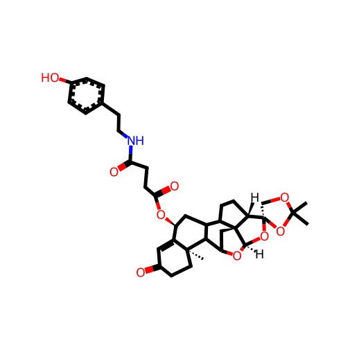 CC1(C)OC[C@@]2(O[C@H]3OC4C[C@]35C(CC[C@H]25)C2C[C@H](OC(=O)CCC(=O)NCCc3ccc(O)cc3)C3=CC(=O)CC[C@]3(C)C42)O1